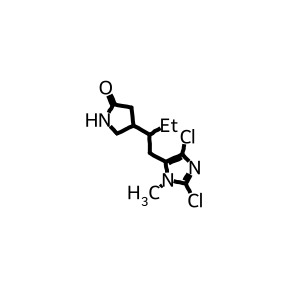 CCC(Cc1c(Cl)nc(Cl)n1C)C1CNC(=O)C1